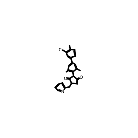 Cc1ccc(-c2cc(C)c(C3C(=O)CC(Cc4ccccn4)C3=O)c(C)c2)cc1Cl